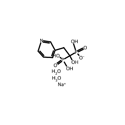 O.O.O=P([O-])(O)C(O)(Cc1cccnc1)P(=O)(O)O.[Na+]